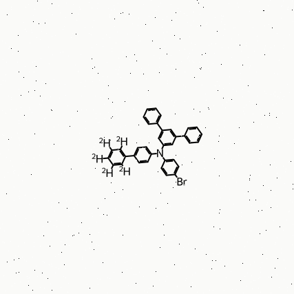 [2H]c1c([2H])c([2H])c(-c2ccc(N(c3ccc(Br)cc3)c3cc(-c4ccccc4)cc(-c4ccccc4)c3)cc2)c([2H])c1[2H]